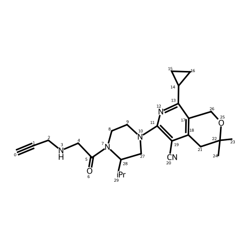 C#CCNCC(=O)N1CCN(c2nc(C3CC3)c3c(c2C#N)CC(C)(C)OC3)CC1C(C)C